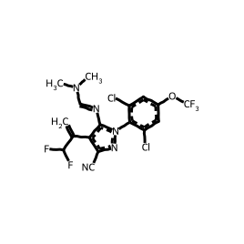 C=C(c1c(C#N)nn(-c2c(Cl)cc(OC(F)(F)F)cc2Cl)c1N=CN(C)C)C(F)F